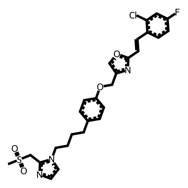 CS(=O)(=O)Cc1nccn1CCCCc1ccc(OCc2coc(/C=C/c3ccc(F)cc3Cl)n2)cc1